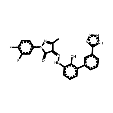 CC1=NN(c2ccc(F)c(F)c2)C(=O)C1=NNc1cccc(-c2cccc(-c3nnn[nH]3)c2)c1O